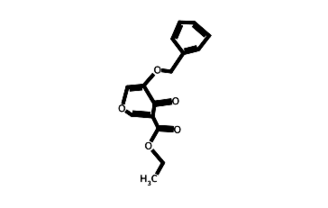 CCOC(=O)c1cocc(OCc2ccccc2)c1=O